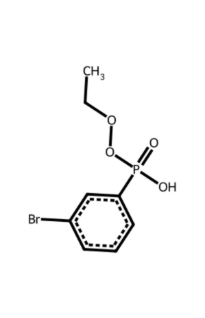 CCOOP(=O)(O)c1cccc(Br)c1